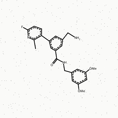 COc1cc(CNC(=O)c2cc(CN)cc(-c3ccc(F)nc3C)c2)cc(OC)c1